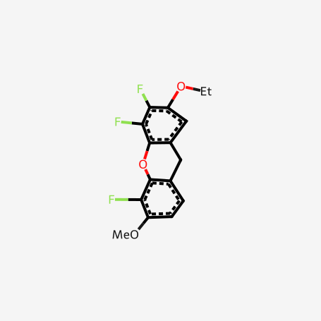 CCOc1cc2c(c(F)c1F)Oc1c(ccc(OC)c1F)C2